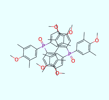 COc1c(C)cc(P(=O)(c2cc(C)c(OC)c(C)c2)c2cc(C)c(OC)c(C)c2-c2c(P(=O)(c3cc(C)c(OC)c(C)c3)c3cc(C)c(OC)c(C)c3)cc(C)c(OC)c2C)cc1C